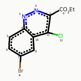 CCOC(=O)c1nnc2ccc(Br)cc2c1Cl